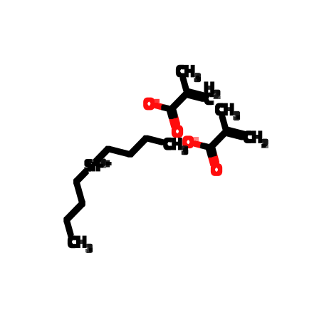 C=C(C)C(=O)[O-].C=C(C)C(=O)[O-].CCC[CH2][Sn+2][CH2]CCC